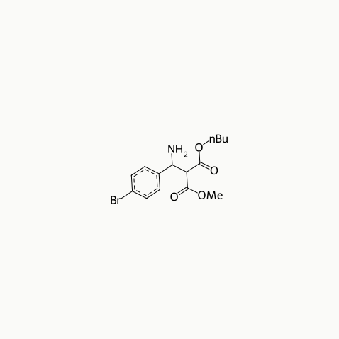 CCCCOC(=O)C(C(=O)OC)C(N)c1ccc(Br)cc1